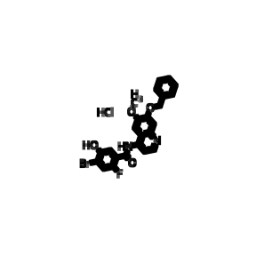 COc1cc2c(NC(=O)c3cc(O)c(Br)cc3F)ccnc2cc1OCc1ccccc1.Cl